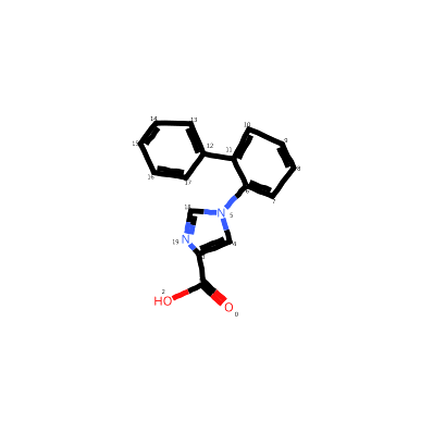 O=C(O)c1cn(-c2ccccc2-c2ccccc2)cn1